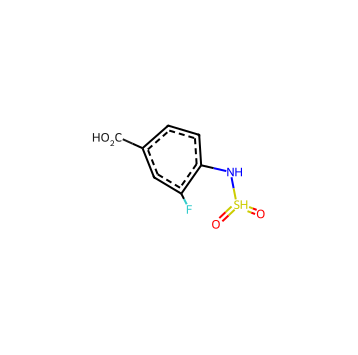 O=C(O)c1ccc(N[SH](=O)=O)c(F)c1